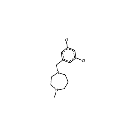 CN1CCCN(Cc2cc(Cl)cc(Cl)c2)CC1